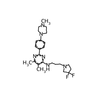 Cc1nc(-c2ccc(N3CCN(C)CC3)cc2)nc(NCCCN2CCC(F)(F)C2)c1C